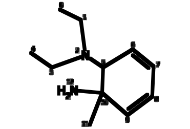 CCN(CC)C1C=CC=CC1(C)N